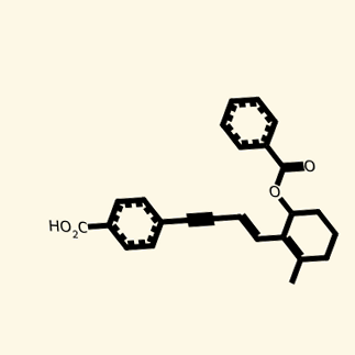 CC1=C(C=CC#Cc2ccc(C(=O)O)cc2)C(OC(=O)c2ccccc2)CCC1